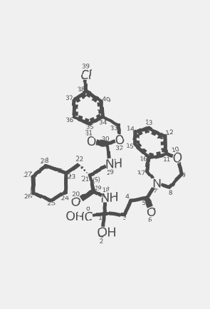 O=CC(O)(CCC(=O)N1CCOc2ccccc2C1)NC(=O)[C@H](CC1CCCCC1)NC(=O)OCc1cccc(Cl)c1